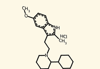 COc1ccc2[nH]c(C)c(CCN3CCCCC3C3CCCCC3)c2c1.Cl